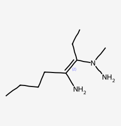 CCCC/C(N)=C(\CC)N(C)N